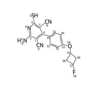 N#Cc1c(N)nc(S)c(C#N)c1-c1ccc(OC2CC(F)C2)cc1